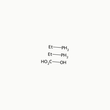 CCP.CCP.O=C(O)O